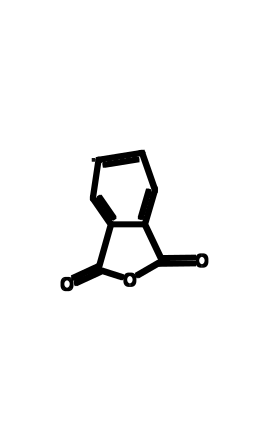 O=C1OC(=O)c2cc[c]cc21